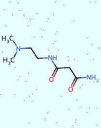 CN(C)CCNC(=O)CC(N)=O